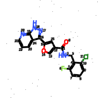 O=C(NCc1c(F)cccc1Cl)c1coc(-c2n[nH]c3ncccc23)c1